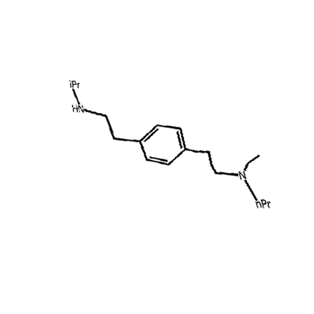 CCCN(C)CCc1ccc(CCNC(C)C)cc1